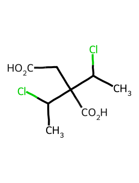 CC(Cl)C(CC(=O)O)(C(=O)O)C(C)Cl